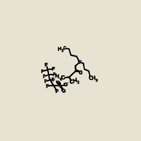 CCCC[S+](CCCC)CC(=O)C(C)C.O=S(=O)([O-])C(F)(F)C(F)(F)C(F)(F)C(F)(F)F